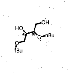 CCCCOC[C@@H](O)[C@@H](CO)OCCCC